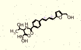 CC(O)C(NC(=O)c1ccc(/C=C/C=C/c2ccc(CO)o2)cc1)C(=O)NO